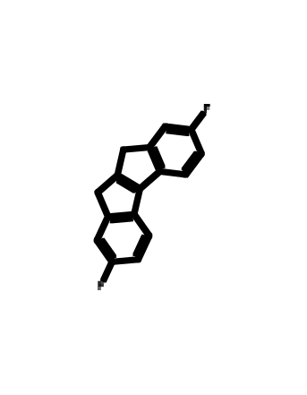 Fc1ccc2c(c1)CC1=C2c2ccc(F)cc2C1